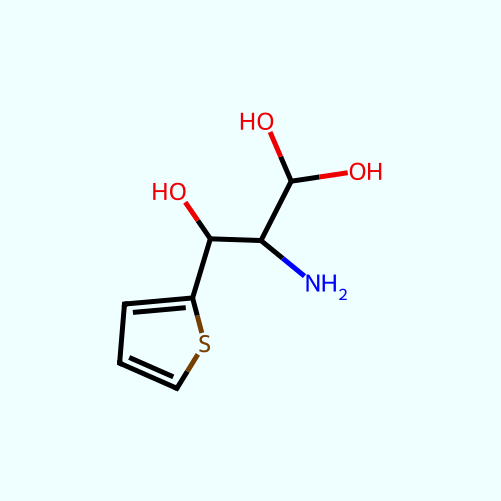 NC(C(O)O)C(O)c1cccs1